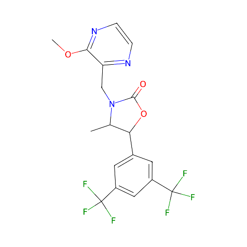 COc1nccnc1CN1C(=O)OC(c2cc(C(F)(F)F)cc(C(F)(F)F)c2)C1C